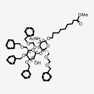 COC(=O)CCCCCCCCO[C@@H]1O[C@H](COCOCc2ccccc2)[C@@H](O[C@@H]2O[C@H](COCc3ccccc3)[C@H](OCc3ccccc3)[C@H](OCc3ccccc3)[C@H]2O)[C@H](OCOCc2ccccc2)[C@H]1NC(C)=O